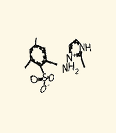 Cc1[nH]cc[n+]1N.Cc1cc(C)c(S(=O)(=O)[O-])c(C)c1